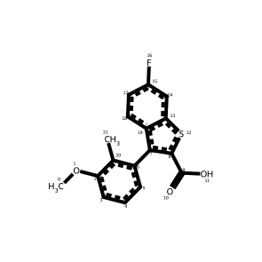 COc1cccc(-c2c(C(=O)O)sc3cc(F)ccc23)c1C